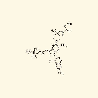 Cc1nc2c(-c3ccc4nn(C)cc4c3Cl)cn(COCC[Si](C)(C)C)c2nc1N1CCC(C)(CNC(=O)OC(C)(C)C)CC1